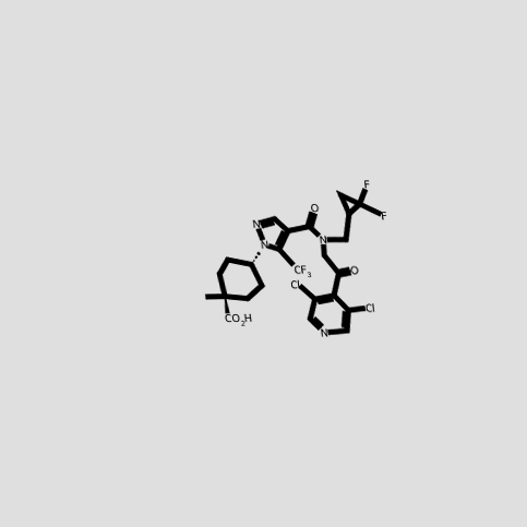 C[C@]1(C(=O)O)CC[C@H](n2ncc(C(=O)N(CC(=O)c3c(Cl)cncc3Cl)CC3CC3(F)F)c2C(F)(F)F)CC1